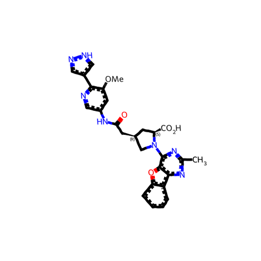 COc1cc(NC(=O)C[C@H]2C[C@@H](C(=O)O)N(c3nc(C)nc4c3oc3ccccc34)C2)cnc1-c1cn[nH]c1